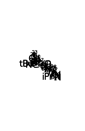 CC(C)n1cnnc1-c1cccc(N2CCN(c3ccc(N(CC4CC4)C(=O)OC(C)(C)C)c(C#N)c3)C2=O)n1